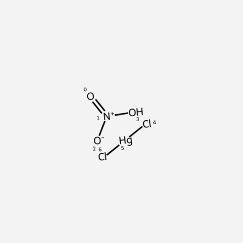 O=[N+]([O-])O.[Cl][Hg][Cl]